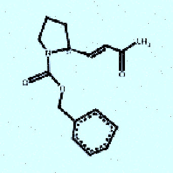 CC(=O)C=C[C@@H]1CCCN1C(=O)OCc1ccccc1